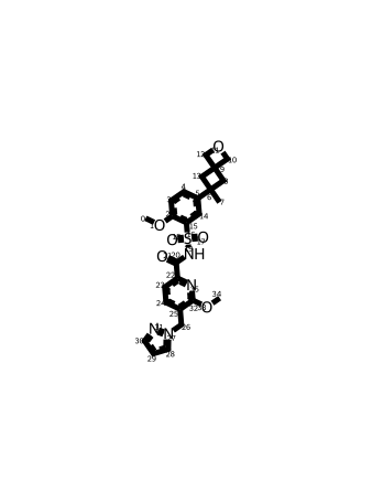 COc1ccc(C2(C)CC3(COC3)C2)cc1S(=O)(=O)NC(=O)c1ccc(Cn2cccn2)c(OC)n1